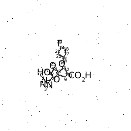 Cn1ncnc1-c1oc2cc(C(=O)O)cc(OCc3ccc(F)cc3)c2c(=O)c1O